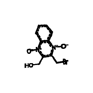 [O-][n+]1c(CO)c(CBr)[n+]([O-])c2ccccc21